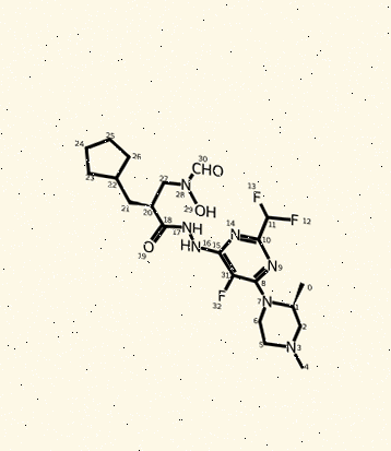 C[C@H]1CN(C)CCN1c1nc(C(F)F)nc(NNC(=O)[C@@H](CC2CCCC2)CN(O)C=O)c1F